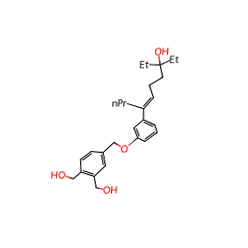 CCC/C(=C\CCC(O)(CC)CC)c1cccc(OCc2ccc(CO)c(CO)c2)c1